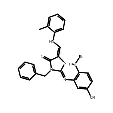 CC[AsH]c1ccc(C#N)cc1/N=C1\S/C(=C/Nc2ccccc2C)C(=O)N1Cc1ccccc1